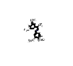 COc1cc(/C=C/C(c2cc(C)c(F)c(C)c2)C(F)(F)F)ccc1C=O